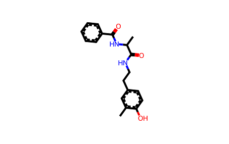 Cc1cc(CCNC(=O)C(C)NC(=O)c2ccccc2)ccc1O